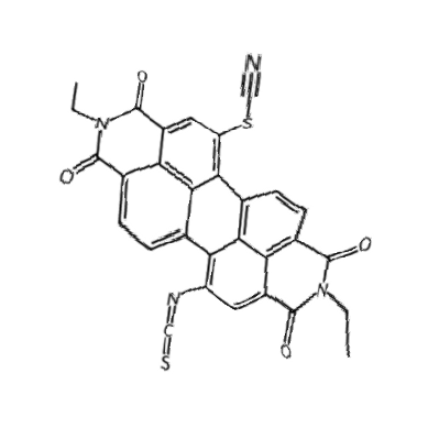 CCN1C(=O)c2ccc3c4c(SC#N)cc5c6c(ccc(c7c(N=C=S)cc(c2c37)C1=O)c64)C(=O)N(CC)C5=O